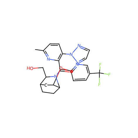 Cc1ccc(-n2nccn2)c(C(=O)N2C(CO)C3CCC2C(Oc2ccc(C(F)(F)F)cn2)C3)n1